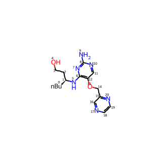 CCCC[C@@H](CCO)Nc1nc(N)ncc1OCc1cnccn1